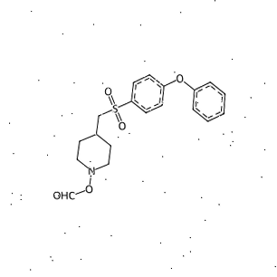 O=CON1CCC(CS(=O)(=O)c2ccc(Oc3ccccc3)cc2)CC1